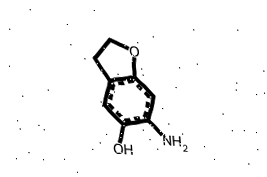 Nc1cc2c(cc1O)CCO2